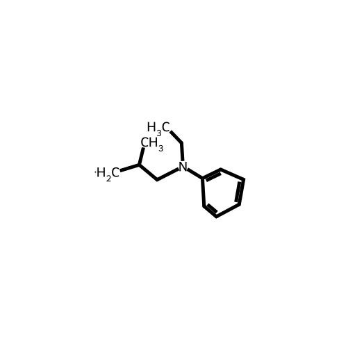 [CH2]C(C)CN(CC)c1ccccc1